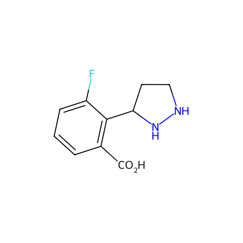 O=C(O)c1cccc(F)c1C1CCNN1